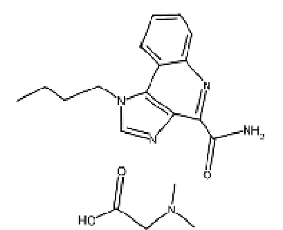 CCCCn1cnc2c(C(N)=O)nc3ccccc3c21.CN(C)CC(=O)O